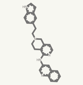 c1ccc2ncc(Nc3nccc4c3CCN(CCc3ccc5[nH]ccc5c3)C4)cc2c1